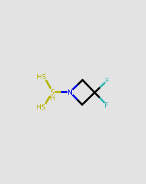 FC1(F)CN([SH](S)S)C1